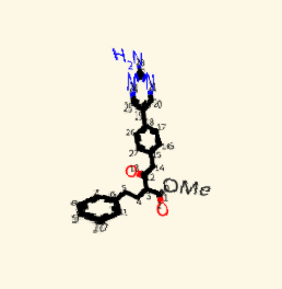 COC(=O)C(CCc1ccccc1)C(=O)Cc1ccc(-c2cnc(N)nc2)cc1